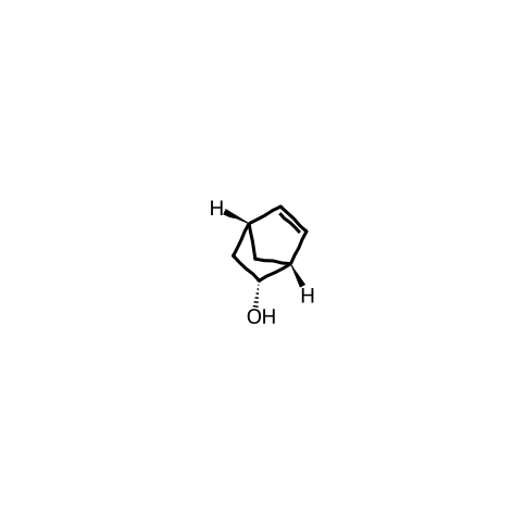 O[C@@H]1C[C@@H]2C=C[C@H]1C2